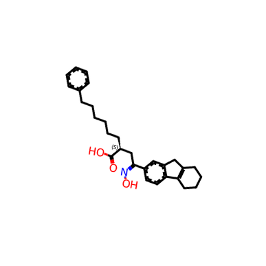 O=C(O)[C@@H](CCCCCCc1ccccc1)CC(=NO)c1ccc2c(c1)CC1=C2CCCC1